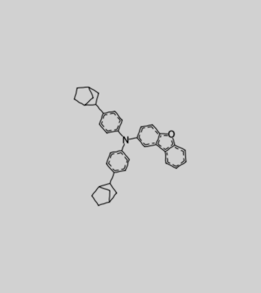 c1ccc2c(c1)oc1ccc(N(c3ccc(C4CC5CCC4C5)cc3)c3ccc(C4CC5CCC4C5)cc3)cc12